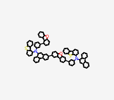 c1cc(-c2ccc3c(c2)oc2ccc(-c4ccc5c(c4)cc(N(c4cccc(-c6cccc7oc8ccccc8c67)c4)c4cccc6sc7ccccc7c46)c4ccccc45)cc23)cc(N(c2cc3ccccc3c3ccccc23)c2cccc3c2sc2ccccc23)c1